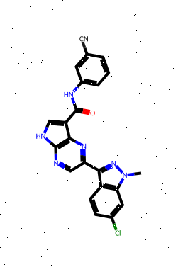 Cn1nc(-c2cnc3[nH]cc(C(=O)Nc4cccc(C#N)c4)c3n2)c2ccc(Cl)cc21